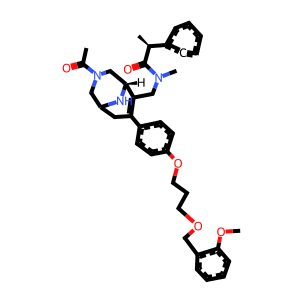 COc1ccccc1COCCCOc1ccc(C2=C(CN(C)C(=O)[C@@H](C)c3ccccc3)[C@H]3CN(C(C)=O)CC(C2)N3)cc1